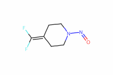 O=NN1CCC(=C(F)F)CC1